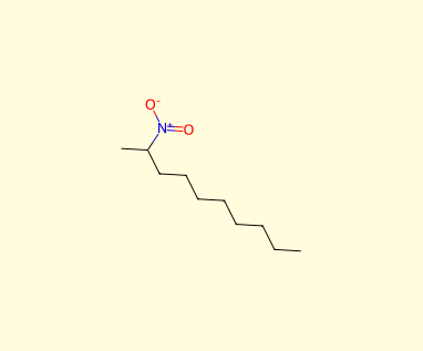 CCCCCCCCC(C)[N+](=O)[O-]